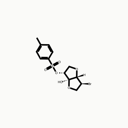 Cc1ccc(S(=O)(=O)O[C@@H]2CO[C@@H]3[C@@H](Br)CO[C@]32O)cc1